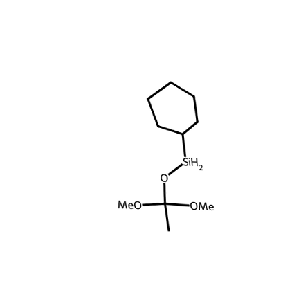 COC(C)(OC)O[SiH2]C1CCCCC1